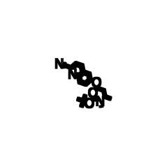 CC(CCOc1ccc2nc(C#N)ccc2c1)N(C)C(=O)OC(C)(C)C